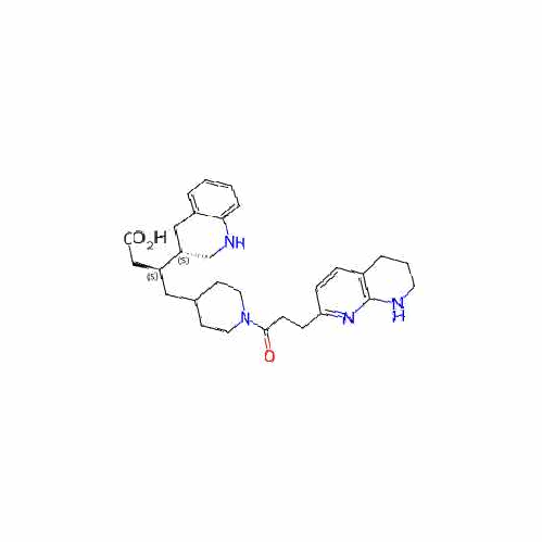 O=C(O)C[C@H](CC1CCN(C(=O)CCc2ccc3c(n2)NCCC3)CC1)[C@H]1CNc2ccccc2C1